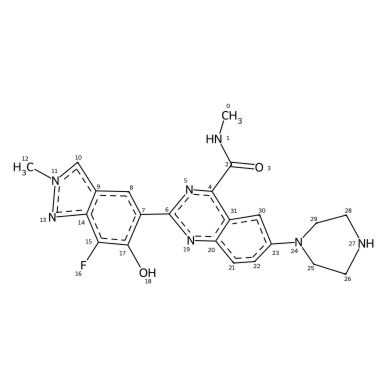 CNC(=O)c1nc(-c2cc3cn(C)nc3c(F)c2O)nc2ccc(N3CCNCC3)cc12